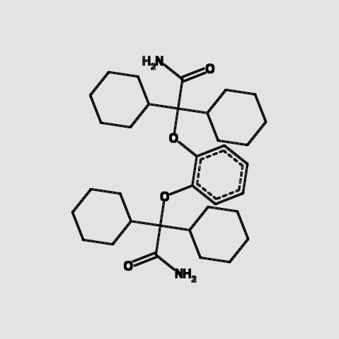 NC(=O)C(Oc1ccccc1OC(C(N)=O)(C1CCCCC1)C1CCCCC1)(C1CCCCC1)C1CCCCC1